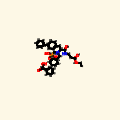 CCOC(=O)CCNC(=O)C(Cc1ccc(-c2ccccc2)cc1)N(CC1CCCCC1)CP(=O)(O)O.O=C(O)c1ccccc1